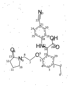 CCc1ccc(OCCN2CCCC2=O)c([C@@H](Nc2ccc(C#N)cc2)C(=O)O)c1